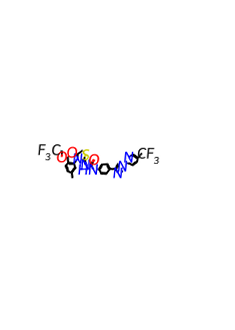 Cc1ccc(COCC(F)(F)F)c(N2C(=O)CS/C2=N\C(=O)Nc2ccc(-c3cn(-c4ccc(C(F)(F)F)cn4)cn3)cc2)c1